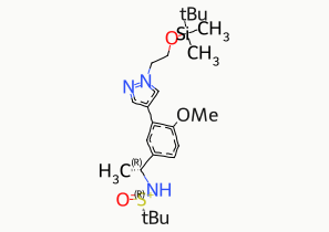 COc1ccc([C@@H](C)N[S@@+]([O-])C(C)(C)C)cc1-c1cnn(CCO[Si](C)(C)C(C)(C)C)c1